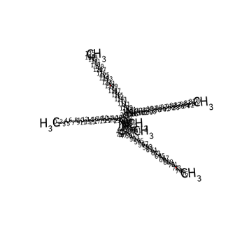 CCCCCCCCCCCCCCCCCCCCCCCCC=CCCc1ccccc1C1=C(C)C(CCCC)=C(c2ccccc2CCC=CCCCCCCCCCCCCCCCCCCCCCCCC)[N+]1=[N-].CCCCCCCCCCCCCCCCCCCCCCCCCCC=[CH][Ni][CH]=CCCCCCCCCCCCCCCCCCCCCCCCCCC